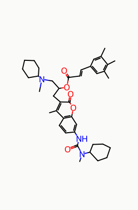 Cc1cc(C=CC(=O)OC(Cc2c(C)c3ccc(NC(=O)N(C)C4CCCCC4)cc3oc2=O)CN(C)C2CCCCC2)cc(C)c1C